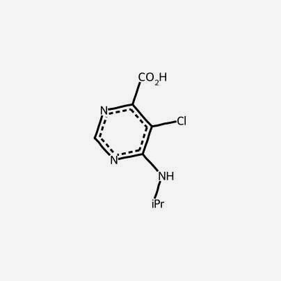 CC(C)Nc1ncnc(C(=O)O)c1Cl